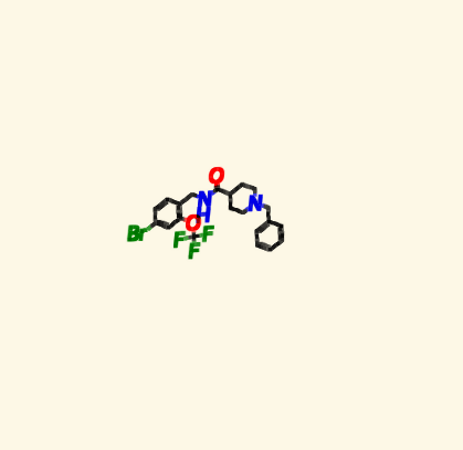 O=C(NCc1ccc(Br)cc1OC(F)(F)F)C1CCN(Cc2ccccc2)CC1